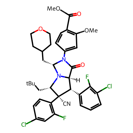 COC(=O)c1ccc(N2C(=O)[C@H]3[C@H](c4cccc(Cl)c4F)[C@@](C#N)(c4ccc(Cl)cc4F)[C@H](CC(C)(C)C)N3[C@@H]2CC2CCOCC2)cc1OC